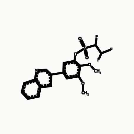 COc1cc(-c2cnc3ccccc3c2)cc(OS(=O)(=O)C(F)C(F)F)c1OC